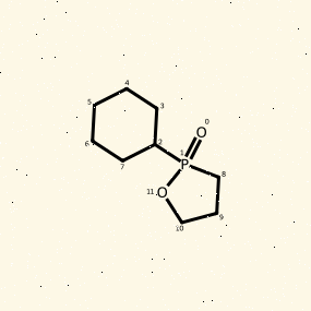 O=P1(C2CCCCC2)CCCO1